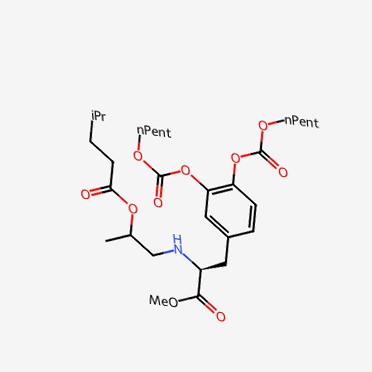 CCCCCOC(=O)Oc1ccc(C[C@H](NCC(C)OC(=O)CCC(C)C)C(=O)OC)cc1OC(=O)OCCCCC